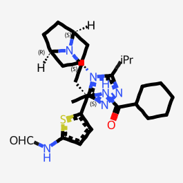 Cc1nnc(C(C)C)n1[C@@H]1C[C@H]2CC[C@@H](C1)N2CC[C@H](NC(=O)C1CCCCC1)c1ccc(NC=O)s1